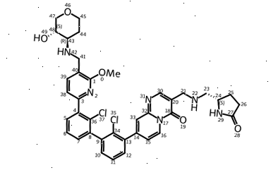 COc1nc(-c2cccc(-c3cccc(-c4ccn5c(=O)c(CNC[C@@H]6CCC(=O)N6)cnc5c4)c3Cl)c2Cl)ccc1CN[C@@H]1CCOC[C@H]1O